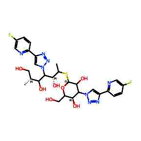 CC(S[C@@H]1OC(CO)[C@H](O)C(n2cc(-c3ccc(F)cn3)nn2)C1O)[C@H](O)C(C(O)[C@H](C)CO)n1cc(-c2ccc(F)cn2)nn1